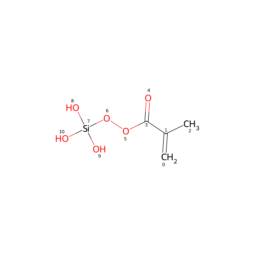 C=C(C)C(=O)OO[Si](O)(O)O